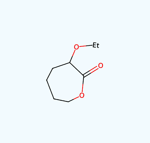 CCOC1CCCCOC1=O